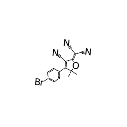 CC1(C)OC(=C(C#N)C#N)C(C#N)=C1c1ccc(Br)cc1